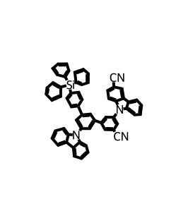 N#Cc1cc(-c2cc(-c3ccc([Si](c4ccccc4)(c4ccccc4)c4ccccc4)cc3)cc(-n3c4ccccc4c4ccccc43)c2)cc(-n2c3ccccc3c3cc(C#N)ccc32)c1